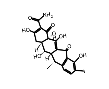 C[C@H]1c2ccc(I)c(O)c2C(=O)C2=C(O)[C@]3(O)C(=O)C(C(N)=O)=C(O)C[C@@H]3[C@@H](O)[C@@H]21